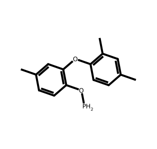 Cc1ccc(Oc2cc(C)ccc2OP)c(C)c1